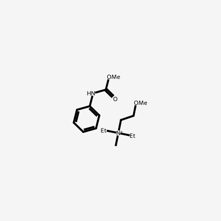 CC[N+](C)(CC)CCOC.COC(=O)Nc1ccccc1